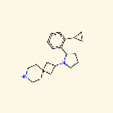 c1ccc(C2CCCN2C2CC3(CCNCC3)C2)c(C2CC2)c1